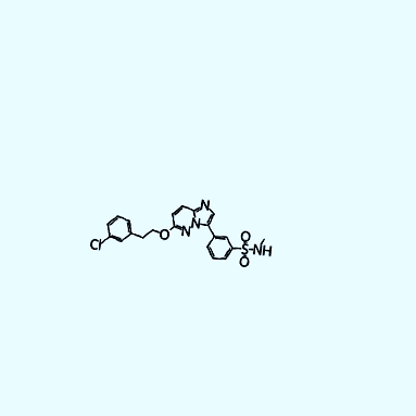 CNS(=O)(=O)c1cccc(-c2cnc3ccc(OCCc4cccc(Cl)c4)nn23)c1